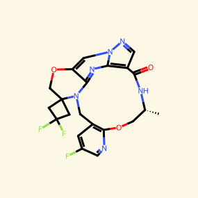 C[C@@H]1COc2ncc(F)cc2CN2c3nc4c(cnn4cc3OCC23CC(F)(F)C3)C(=O)N1